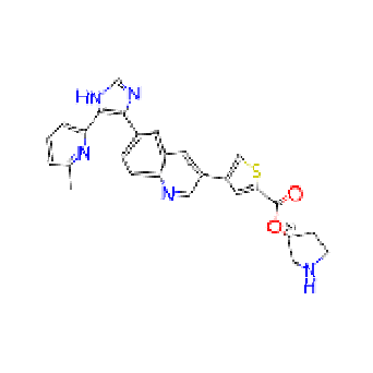 Cc1cccc(-c2[nH]cnc2-c2ccc3ncc(-c4csc(C(=O)O[C@H]5CCNC5)c4)cc3c2)n1